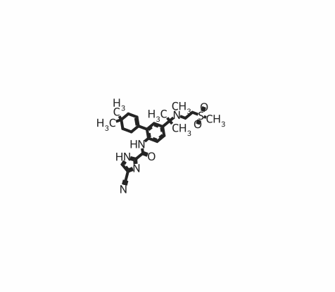 CN(CCS(C)(=O)=O)C(C)(C)c1ccc(NC(=O)c2nc(C#N)c[nH]2)c(C2=CCC(C)(C)CC2)c1